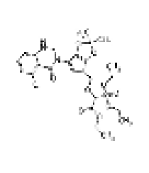 CCOC(=O)C(OC[C@H]1C=C(N2CNc3cccc(Cl)c3C2=O)C2=C1OC(C)(C)O2)P(=O)(OCC)OCC